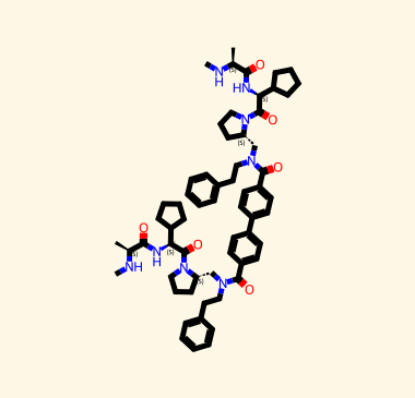 CN[C@@H](C)C(=O)N[C@H](C(=O)N1CCC[C@H]1CN(CCc1ccccc1)C(=O)c1ccc(-c2ccc(C(=O)N(CCc3ccccc3)C[C@@H]3CCCN3C(=O)[C@@H](NC(=O)[C@H](C)NC)C3CCCC3)cc2)cc1)C1CCCC1